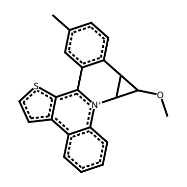 COC1C2c3ccc(C)cc3-c3c4sccc4c4ccccc4[n+]3C12